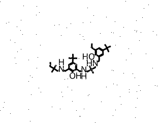 CCc1cc(C(C)(C)C)cc(CNCC(C)(C)CNCc2cc(C(C)(C)C)cc(CNCC(C)(C)CC)c2O)c1O